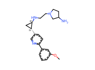 COc1cccc(-c2ccc([C@@H]3C[C@H]3NCCN3CCC(N)C3)cn2)c1